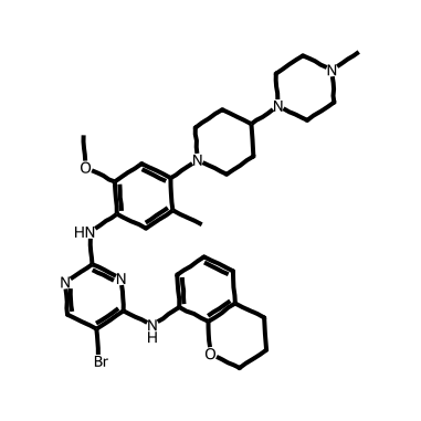 COc1cc(N2CCC(N3CCN(C)CC3)CC2)c(C)cc1Nc1ncc(Br)c(Nc2cccc3c2OCCC3)n1